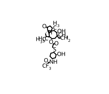 C=C[C@]1(C)C[C@@H](OC(=O)CS[C@@H]2CC[C@@H](NC(=O)C(F)(F)F)C[C@H]2O)[C@]2(C)C(C)C[C@]34C(=O)CCC3([C@H]24)[C@@H](C)[C@@H]1O